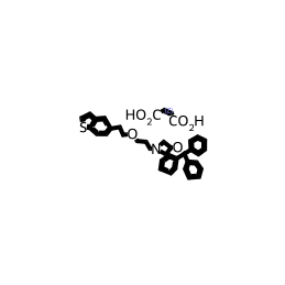 O=C(O)/C=C\C(=O)O.c1ccc(C(OC2CN(CCCOCCc3ccc4sccc4c3)C2)(c2ccccc2)c2ccccc2)cc1